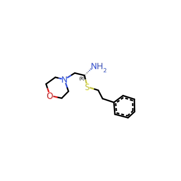 N[C@@H](CN1CCOCC1)SCCc1ccccc1